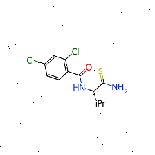 CC(C)C(NC(=O)c1ccc(Cl)cc1Cl)C(N)=S